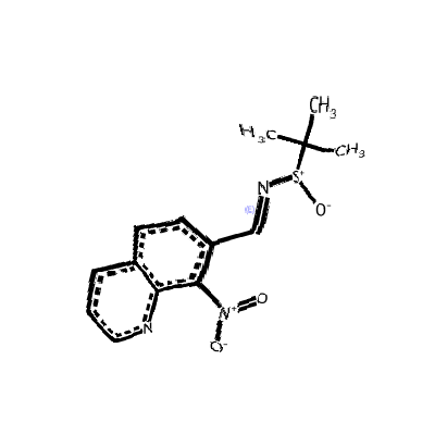 CC(C)(C)[S+]([O-])/N=C/c1ccc2cccnc2c1[N+](=O)[O-]